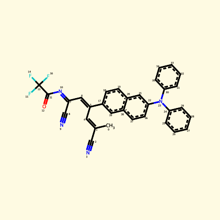 C\C(C#N)=C/C(=C\C(C#N)=N\C(=O)C(F)(F)F)c1ccc2cc(N(c3ccccc3)c3ccccc3)ccc2c1